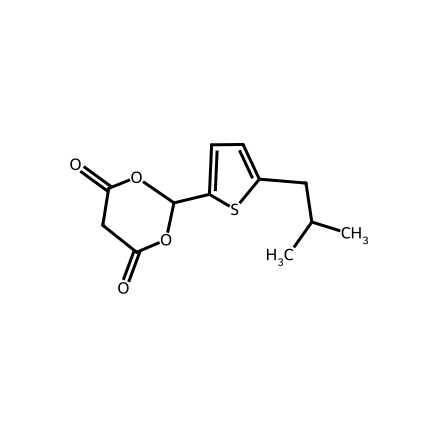 CC(C)Cc1ccc(C2OC(=O)CC(=O)O2)s1